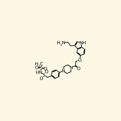 CS(=O)(=O)NS(=O)(=O)Cc1ccc(N2CCN(C(=O)COc3ccc4[nH]cc(CCN)c4c3)CC2)cc1